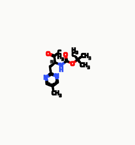 CC(=O)[C@H](Cc1ncc(C)cn1)NC(=O)OC(C)(C)C